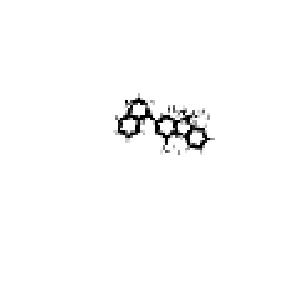 Cc1cc(-c2ncnc3ccccc23)cc2c1-c1ccccc1C2(C)C